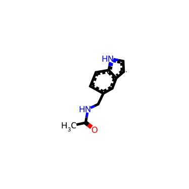 CC(=O)NCc1ccc2[nH]c[c]c2c1